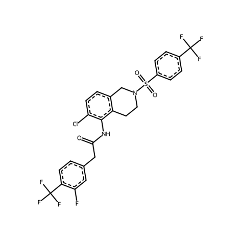 O=C(Cc1ccc(C(F)(F)F)c(F)c1)Nc1c(Cl)ccc2c1CCN(S(=O)(=O)c1ccc(C(F)(F)F)cc1)C2